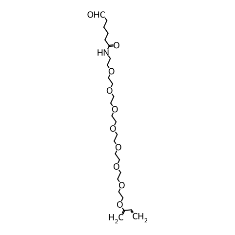 C=CC(=C)OCCOCCOCCOCCOCCOCCOCCOCCNC(=O)CCCCC=O